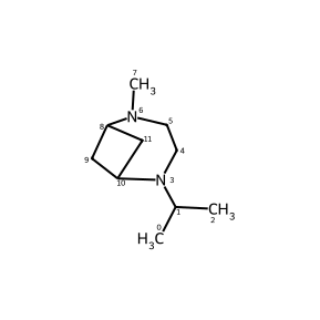 CC(C)N1CCN(C)C2CC1C2